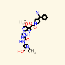 CCN1C[C@@H](NC(=O)c2ncn(-c3ncc(OC)c4c(C(=O)C(=O)N5CCC(=C(C#N)c6ccccc6)CC5)c[nH]c34)n2)C[C@H]1CO